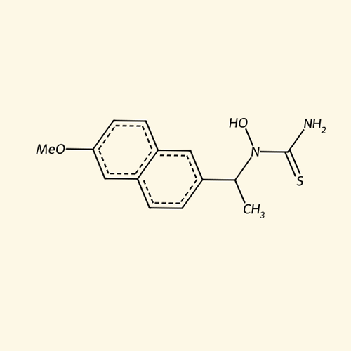 COc1ccc2cc(C(C)N(O)C(N)=S)ccc2c1